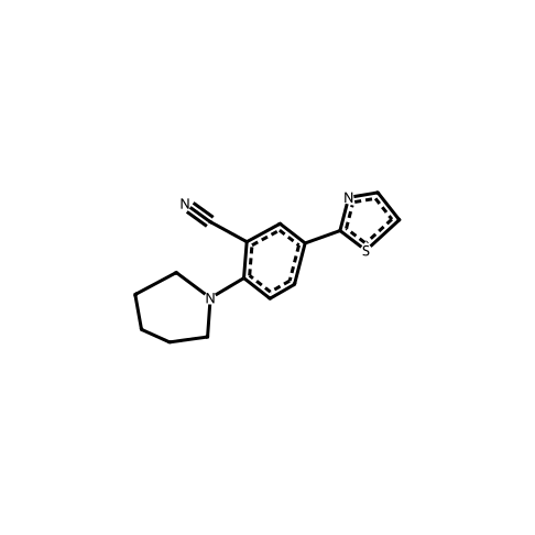 N#Cc1cc(-c2nccs2)ccc1N1CCCCC1